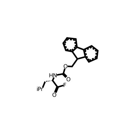 CC(C)C[C@H](NC(=O)OCC1c2ccccc2-c2ccccc21)C(=O)F